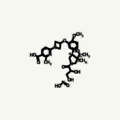 COc1ccc([C@@H]2CN(C(=O)C(O)CO)C[C@@]2(C)[C@@H](C)O)cc1OC1CN(c2ccc(C(=O)O)c(C)n2)C1.O=NO